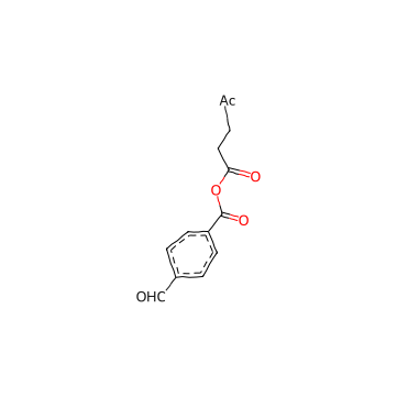 CC(=O)CCC(=O)OC(=O)c1ccc(C=O)cc1